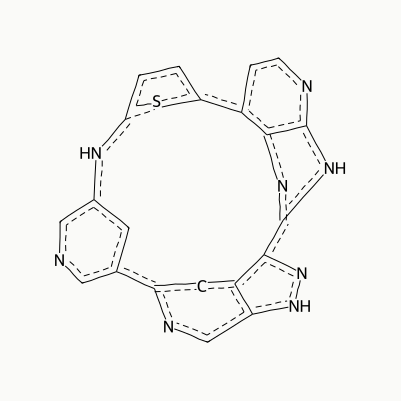 c1cc2c3ccc([nH]c4cncc(c4)c4cc5c(cn4)[nH]nc5c4nc2c(n1)[nH]4)s3